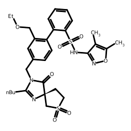 CCCCC1=N[C@]2(CCS(=O)(=O)C2)C(=O)N1Cc1ccc(-c2ccccc2S(=O)(=O)Nc2noc(C)c2C)c(COCC)c1